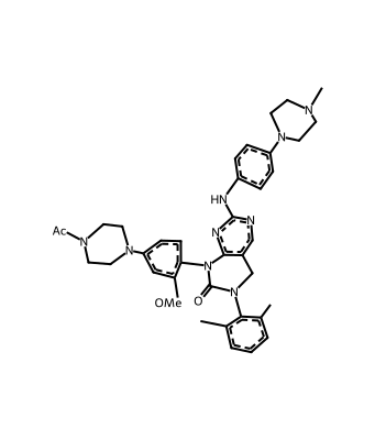 COc1cc(N2CCN(C(C)=O)CC2)ccc1N1C(=O)N(c2c(C)cccc2C)Cc2cnc(Nc3ccc(N4CCN(C)CC4)cc3)nc21